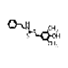 Cc1cc(CSC(=S)NCCc2ccccc2)cc(C)c1O